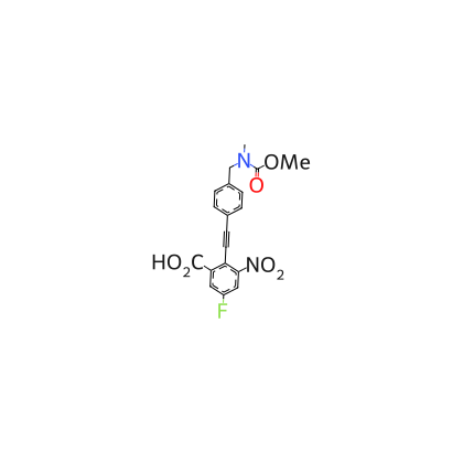 COC(=O)N(C)Cc1ccc(C#Cc2c(C(=O)O)cc(F)cc2[N+](=O)[O-])cc1